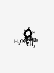 Br.Br.Br.CN(C)c1ccccc1